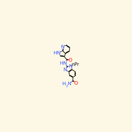 CCCn1c(NC(=O)c2c[nH]c3ncccc23)nc2cc(C(N)=O)ccc21